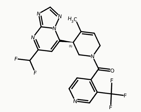 CC1=CCN(C(=O)c2ccncc2C(F)(F)F)C[C@H]1c1cc(C(F)F)nc2ncnn12